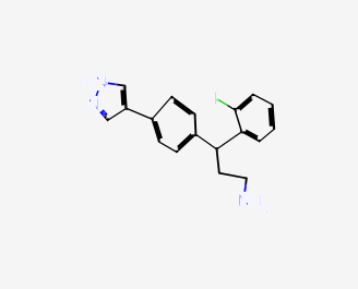 NCCC(c1ccc(-c2cn[nH]c2)cc1)c1ccccc1Cl